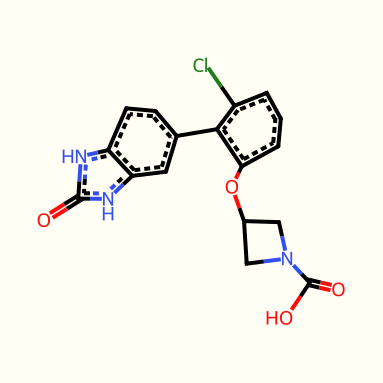 O=C(O)N1CC(Oc2cccc(Cl)c2-c2ccc3[nH]c(=O)[nH]c3c2)C1